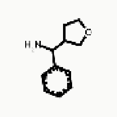 NC(c1ccccc1)C1CCOC1